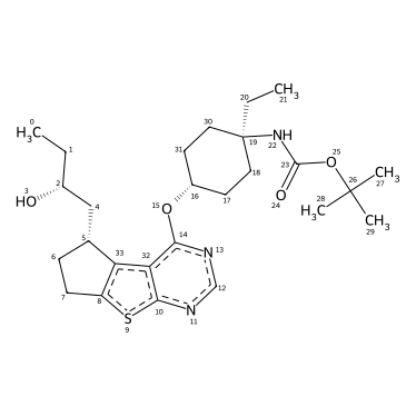 CC[C@@H](O)C[C@H]1CCc2sc3ncnc(O[C@H]4CC[C@](CC)(NC(=O)OC(C)(C)C)CC4)c3c21